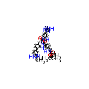 Cc1nc2cc(-c3ccc(C[C@H](NC(=O)C4CCC(CNC(=O)OC(C)(C)C)CC4)C(=O)Nc4ccc(-c5nn[nH]n5)cc4)cc3)ccc2[nH]1